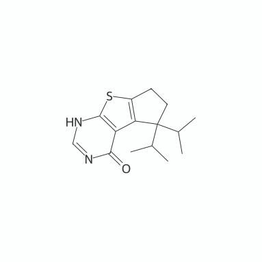 CC(C)C1(C(C)C)CCc2sc3[nH]cnc(=O)c3c21